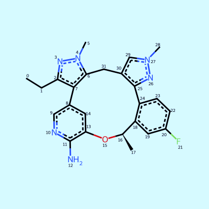 CCc1nn(C)c2c1-c1cnc(N)c(c1)O[C@H](C)c1cc(F)ccc1-c1nn(C)cc1C2